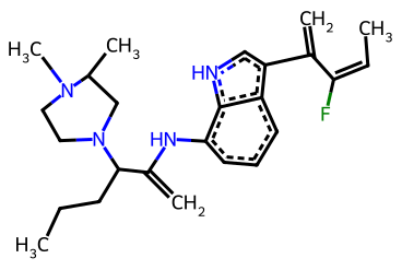 C=C(/C(F)=C\C)c1c[nH]c2c(NC(=C)C(CCC)N3CCN(C)C(C)C3)cccc12